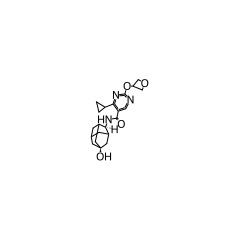 O=C(N[C@H]1C2CC3CC1C[C@@](O)(C3)C2)c1cnc(OC2COC2)nc1C1CC1